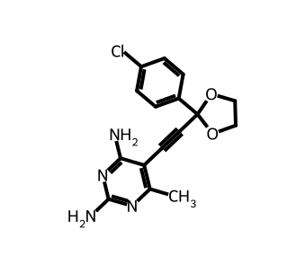 Cc1nc(N)nc(N)c1C#CC1(c2ccc(Cl)cc2)OCCO1